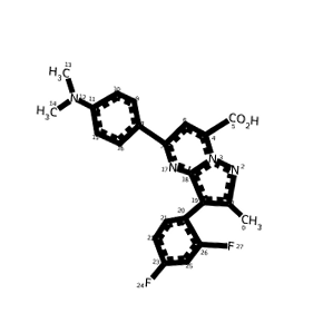 Cc1nn2c(C(=O)O)cc(-c3ccc(N(C)C)cc3)nc2c1-c1ccc(F)cc1F